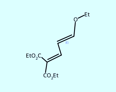 CCO/C=C/C=C(C(=O)OCC)C(=O)OCC